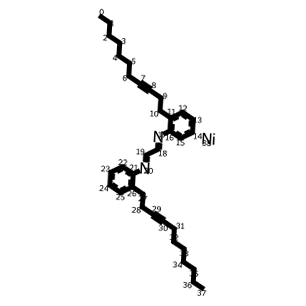 CCCCCCCC#CCCc1ccccc1N=CC=Nc1ccccc1CCC#CCCCCCCC.[Ni]